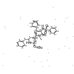 Cn1c(NCC(Cc2ccccc2)NC(=O)OC(C)(C)C)nc(-c2ccncc2)c(NS(=O)(=O)c2ccccc2)c1=O